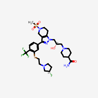 CS(=O)(=O)N1CCc2c(c(-c3ccc(C(F)(F)F)c(SCCN4CC[C@H](F)C4)c3)nn2C[C@@H](O)CN2CCC(C(N)=O)CC2)C1